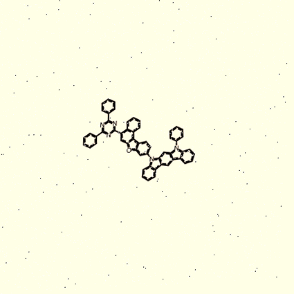 c1ccc(-c2nc(-c3ccccc3)nc(-c3cc4oc5cc(-n6c7ccccc7c7cc8c9ccccc9n(-c9ccccc9)c8cc76)ccc5c4c4ccccc34)n2)cc1